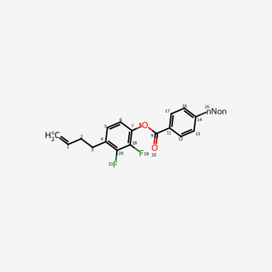 C=CCCc1ccc(OC(=O)c2ccc(CCCCCCCCC)cc2)c(F)c1F